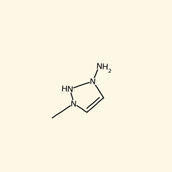 CN1C=CN(N)N1